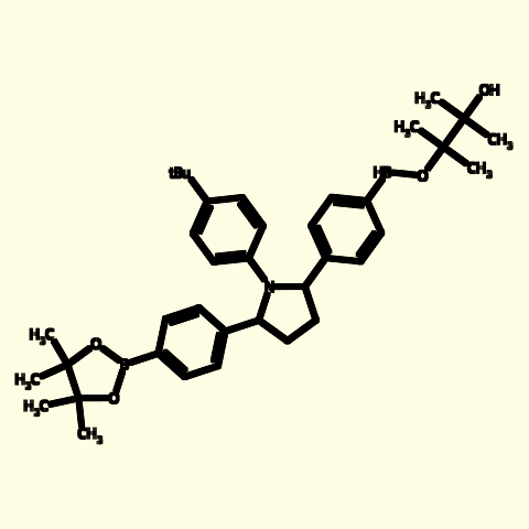 CC(C)(C)c1ccc(N2C(c3ccc(BOC(C)(C)C(C)(C)O)cc3)CCC2c2ccc(B3OC(C)(C)C(C)(C)O3)cc2)cc1